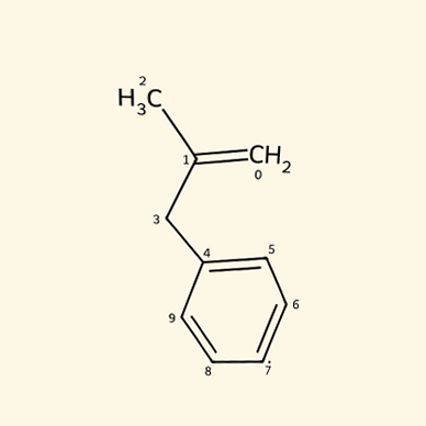 C=C(C)Cc1cc[c]cc1